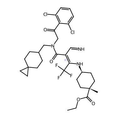 CCOC(=O)[C@]1(C)CC[C@@H](N/C(=C(\C=N)C(=O)N(CC(=O)c2c(Cl)cccc2Cl)CC2CCC3(CC2)CC3)C(F)(F)F)CC1